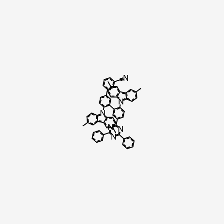 Cc1ccc2c(c1)c1cc(C)ccc1n2-c1ccc(-c2cccc(C#N)c2)cc1-c1cc(-c2nc(-c3ccccc3)nc(-c3ccccc3)n2)ccc1-n1c2ccc(C)cc2c2cc(C)ccc21